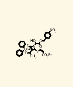 CCOC(=O)/C=C\SC1C(C(C)O[Si](c2ccccc2)(c2ccccc2)C(C)(C)C)C(=O)N1C(O)C(=O)OCc1ccc([N+](=O)[O-])cc1